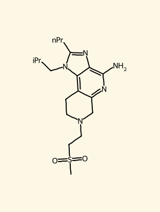 CCCc1nc2c(N)nc3c(c2n1CC(C)C)CCN(CCS(C)(=O)=O)C3